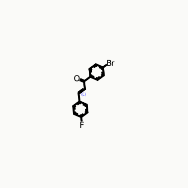 O=C(/C=C/c1ccc(F)cc1)c1ccc(Br)cc1